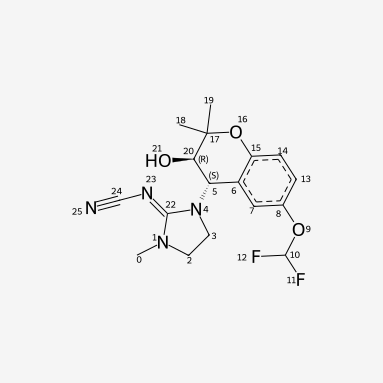 CN1CCN([C@H]2c3cc(OC(F)F)ccc3OC(C)(C)[C@@H]2O)C1=NC#N